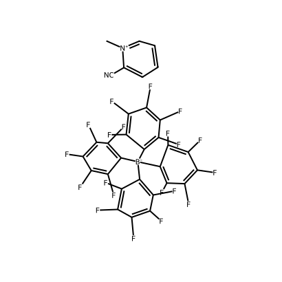 C[n+]1ccccc1C#N.Fc1c(F)c(F)c([B-](c2c(F)c(F)c(F)c(F)c2F)(c2c(F)c(F)c(F)c(F)c2F)c2c(F)c(F)c(F)c(F)c2F)c(F)c1F